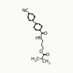 C=C(C)C(=O)OCCCNC(=O)c1ccc(-c2ccc(C#N)cc2)cc1